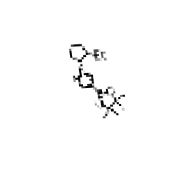 CC[C@@H]1CCC[C@H]1n1cc(B2OC(C)(C)C(C)(C)O2)cn1